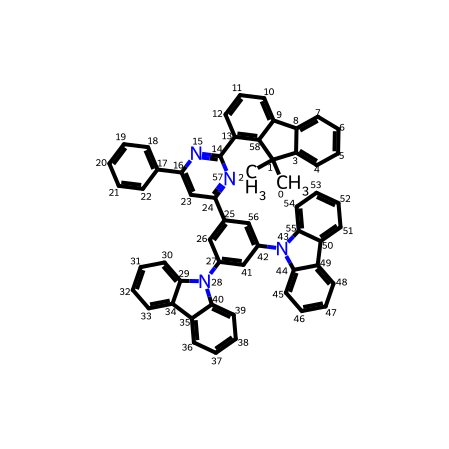 CC1(C)c2ccccc2-c2cccc(-c3nc(-c4ccccc4)cc(-c4cc(-n5c6ccccc6c6ccccc65)cc(-n5c6ccccc6c6ccccc65)c4)n3)c21